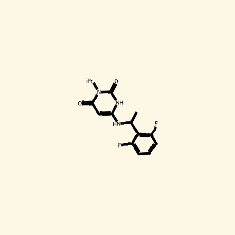 CC(Nc1cc(=O)n(C(C)C)c(=O)[nH]1)c1c(F)cccc1F